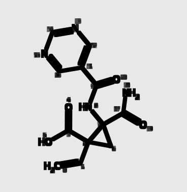 C=CC1(C(=O)O)CC1(NC(=O)c1cncnc1)C(N)=O